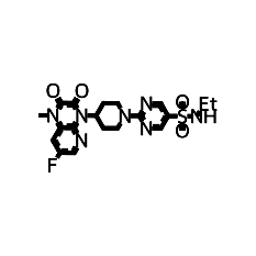 CCNS(=O)(=O)c1cnc(N2CCC(n3c(=O)c(=O)n(C)c4cc(F)cnc43)CC2)nc1